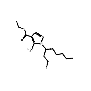 CCCCCC(CCI)n1ncc(C(=O)OCC)c1N